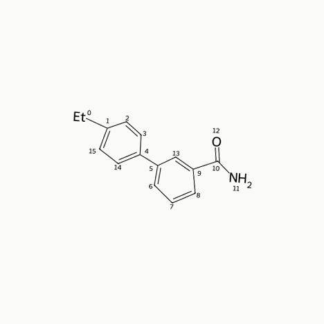 CCc1ccc(-c2cccc(C(N)=O)c2)cc1